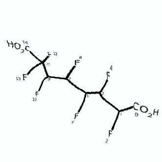 O=C(O)C(F)C(F)C(F)C(F)C(F)C(F)(F)C(=O)O